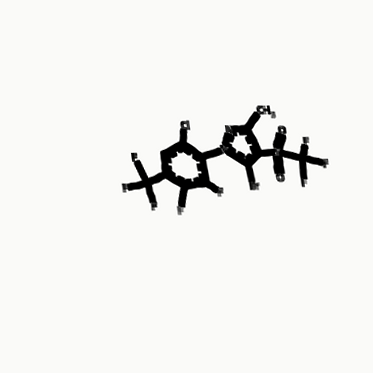 Cc1nn(-c2c(Cl)cc(C(F)(F)F)c(F)c2F)c(Br)c1S(=O)(=O)C(F)(F)F